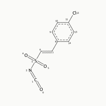 O=C=NS(=O)(=O)C=Cc1ccc(Cl)cc1